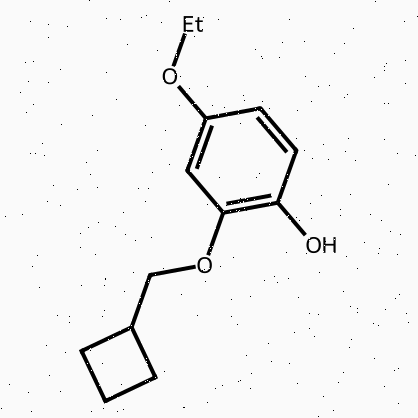 CCOc1ccc(O)c(OCC2CCC2)c1